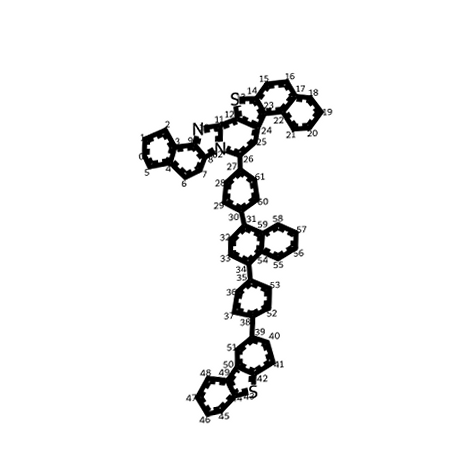 c1ccc2c(c1)ccc1c2nc2c3sc4ccc5ccccc5c4c3cc(-c3ccc(-c4ccc(-c5ccc(-c6ccc7sc8ccccc8c7c6)cc5)c5ccccc45)cc3)n12